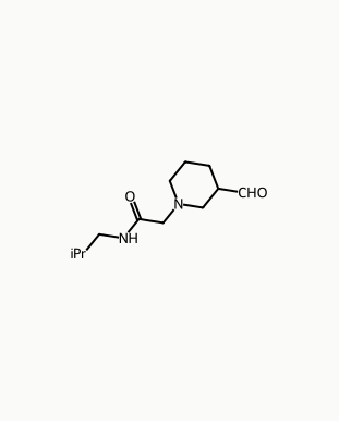 CC(C)CNC(=O)CN1CCCC(C=O)C1